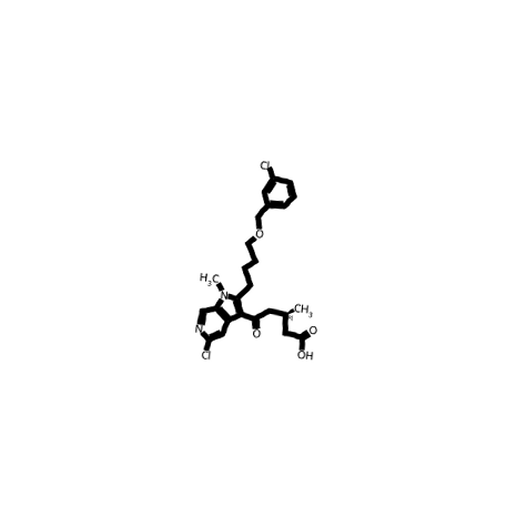 C[C@@H](CC(=O)O)CC(=O)c1c(CCCCOCc2cccc(Cl)c2)n(C)c2cnc(Cl)cc12